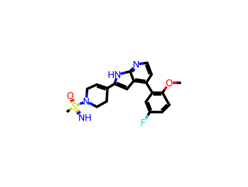 COc1ccc(F)cc1-c1ccnc2[nH]c(C3=CCN(S(C)(=N)=O)CC3)cc12